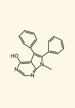 Cn1c(-c2ccccc2)c(-c2ccccc2)c2c(O)ncnc21